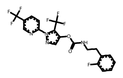 O=C(NCCc1ccccc1F)Oc1cnn(-c2ccc(C(F)(F)F)cn2)c1C(F)(F)F